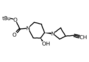 C#CC1CN([C@@H]2CCN(C(=O)OC(C)(C)C)C[C@@H]2O)C1